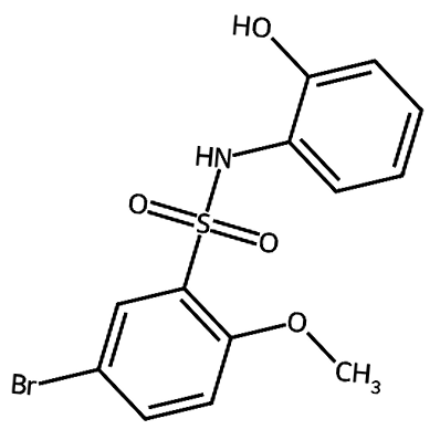 COc1ccc(Br)cc1S(=O)(=O)Nc1ccccc1O